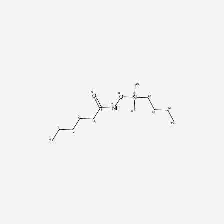 CCCCCC(=O)NO[Si](C)(C)CCCC